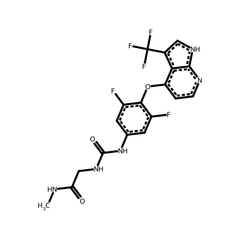 CNC(=O)CNC(=O)Nc1cc(F)c(Oc2ccnc3[nH]cc(C(F)(F)F)c23)c(F)c1